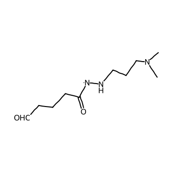 CN(C)CCCN[N]C(=O)CCCC=O